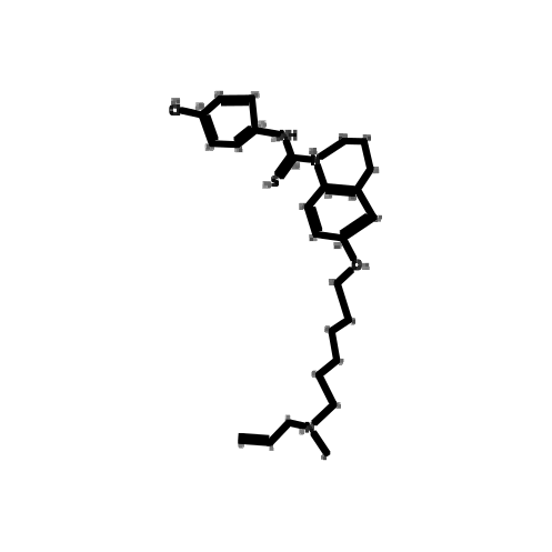 C=CCN(C)CCCCCCOc1ccc2c(c1)CCCN2C(=S)Nc1ccc(Cl)cc1